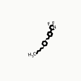 CCCCCC[C@H]1CC[C@H](CCc2ccc(-c3cnc(F)c(F)c3)cc2)CC1